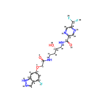 O=C(COc1cc(F)c2cn[nH]c2c1)NCC[C@H](O)CNC(=O)c1cnc(C(F)F)cn1